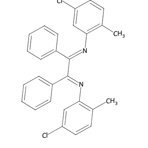 Cc1ccc(Cl)cc1/N=C(/C(=N/c1cc(Cl)ccc1C)c1ccccc1)c1ccccc1